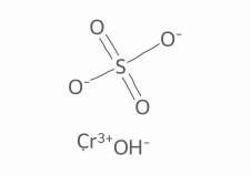 O=S(=O)([O-])[O-].[Cr+3].[OH-]